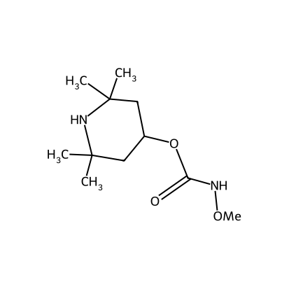 CONC(=O)OC1CC(C)(C)NC(C)(C)C1